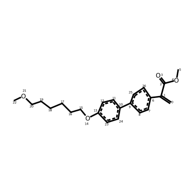 C=C(C(=O)OC)c1ccc(-c2ccc(OCCCCCCOC)cc2)cc1